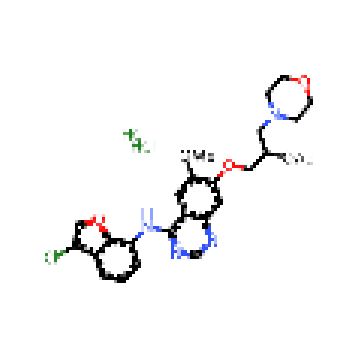 COc1cc2c(Nc3cccc4c(Cl)coc34)ncnc2cc1OCC(CN1CCOCC1)OC(C)=O.Cl.Cl